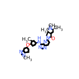 Cc1cc(Nc2ncnc3ccc(N4CC/C(=C\[C@H](C)N(C)C)C4=O)nc23)ccc1Oc1ccc2c(c1)ncn2C